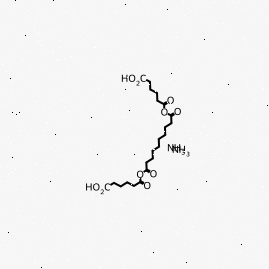 N.N.O=C(O)CCCCC(=O)OC(=O)CCCCCCCCC(=O)OC(=O)CCCCC(=O)O